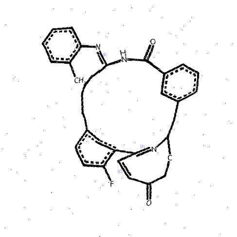 Cc1ccccc1/N=C1\CCCc2ccc(F)c(c2)C2=N\C(CCC(=O)/C=C\2)Cc2cccc(c2)C(=O)N1